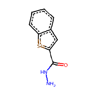 NNC(=O)c1cc2ccccc2s1